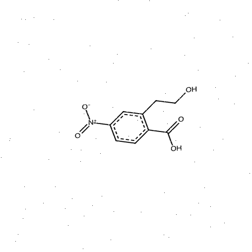 O=C(O)c1ccc([N+](=O)[O-])cc1CCO